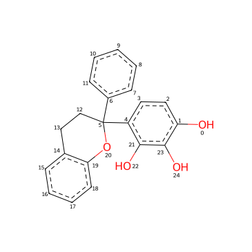 Oc1ccc(C2(c3ccccc3)CCc3ccccc3O2)c(O)c1O